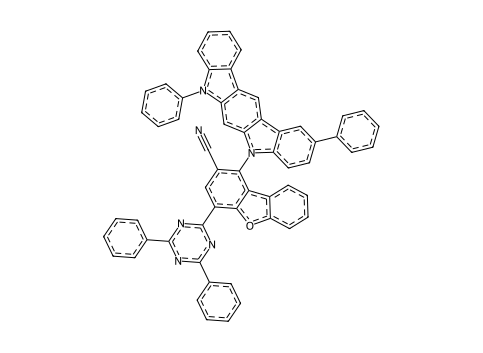 N#Cc1cc(-c2nc(-c3ccccc3)nc(-c3ccccc3)n2)c2oc3ccccc3c2c1-n1c2ccc(-c3ccccc3)cc2c2cc3c4ccccc4n(-c4ccccc4)c3cc21